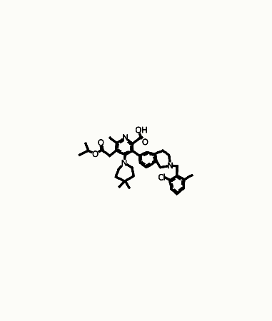 Cc1cccc(Cl)c1CN1CCc2cc(-c3c(C(=O)O)nc(C)c(CC(=O)OC(C)C)c3N3CCC(C)(C)CC3)ccc2C1